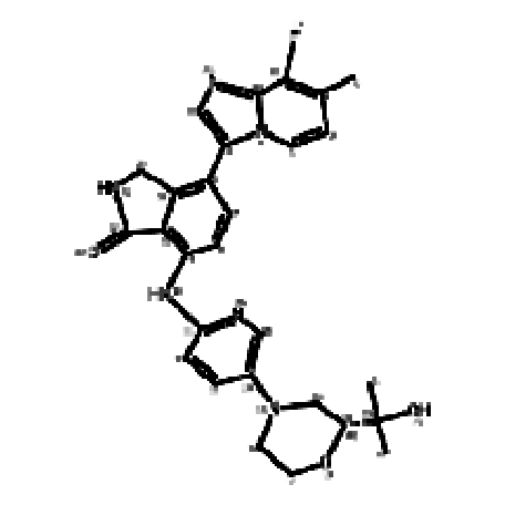 Cc1ccn2c(-c3ccc(Nc4ccc(N5CCO[C@@H](C(C)(C)O)C5)cn4)c4c3CNC4=O)cnc2c1F